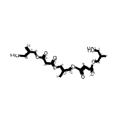 CC(CO)COC(=O)CC(=O)OCC(C)COC(=O)CC(=O)OCC(C)CO